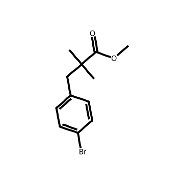 COC(=O)C(C)(C)Cc1ccc(Br)cc1